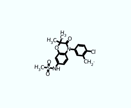 [CH2]c1cc(N2C(=O)C(C)(C)Oc3cc(NS(C)(=O)=O)ccc32)ccc1Cl